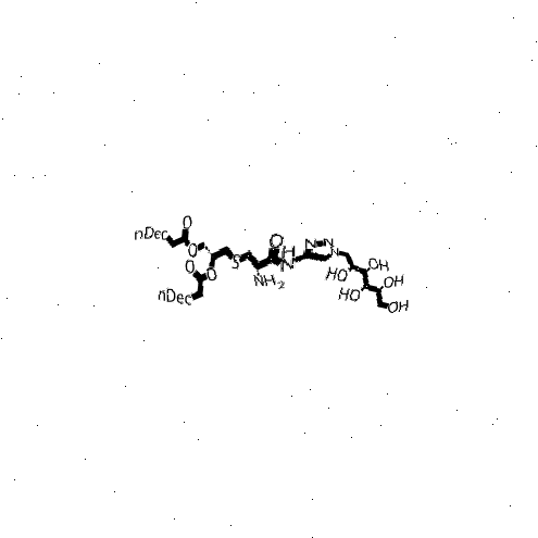 CCCCCCCCCCCC(=O)OC[C@H](CSC[C@@H](N)C(=O)Nc1cn(C[C@H](O)[C@H](O)[C@H](O)[C@H](O)CO)nn1)OC(=O)CCCCCCCCCCC